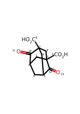 O=C(O)C12CC3CC(CC(C(=O)O)(C1)C3=O)C2=O